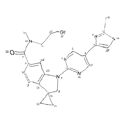 Cc1nc(-c2cnc(N3CC4(CC4)c4ccc(C(=O)N(C)CCO)cc43)nc2)cs1